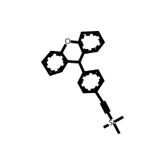 C[Si](C)(C)C#Cc1ccc(C2c3ccccc3Oc3ccccc32)cc1